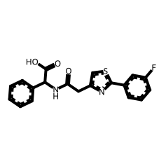 O=C(Cc1csc(-c2cccc(F)c2)n1)NC(C(=O)O)c1ccccc1